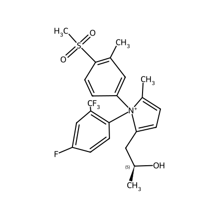 CC1=CC=C(C[C@H](C)O)[N+]1(c1ccc(S(C)(=O)=O)c(C)c1)c1ccc(F)cc1C(F)(F)F